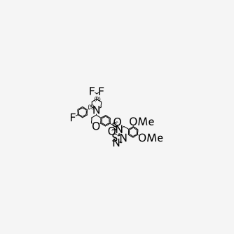 COc1ccc(CN(c2ncns2)S(=O)(=O)c2ccc3c(c2)OCCC3N2CC[C@@H](C(F)F)C[C@H]2c2ccc(F)cc2)c(OC)c1